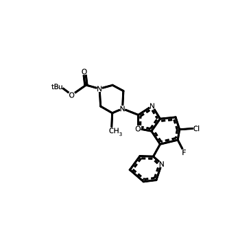 CC1CN(C(=O)OC(C)(C)C)CCN1c1nc2cc(Cl)c(F)c(-c3ccccn3)c2o1